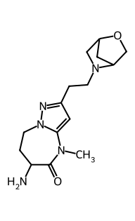 CN1C(=O)C(N)CCn2nc(CCN3CC4CC3CO4)cc21